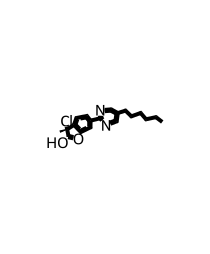 CCCCCCc1cnc(-c2ccc([C@@](C)(Cl)C(=O)O)cc2)nc1